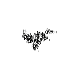 COC1[C@@H](COP(=O)(O)OCCO)O[C@@H](n2cnc3c(N)ncnc32)[C@H]1OP(O)(=S)OC[C@H]1O[C@@H](n2cnc3c(N)ncnc32)[C@@H](OP(O)(=S)OC[C@@]23CCO[C@@H](C2OP(=O)(O)S)[C@H](n2cnc4c(N)ncnc42)O3)C1O